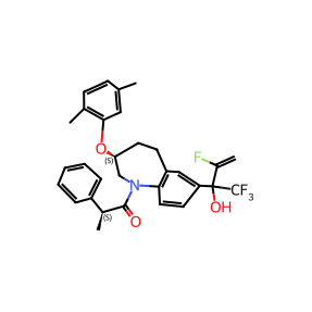 C=C(F)C(O)(c1ccc2c(c1)CC[C@H](Oc1cc(C)ccc1C)CN2C(=O)[C@@H](C)c1ccccc1)C(F)(F)F